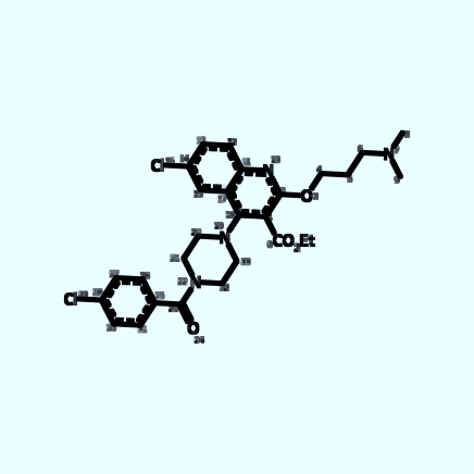 CCOC(=O)c1c(OCCCN(C)C)nc2ccc(Cl)cc2c1N1CCN(C(=O)c2ccc(Cl)cc2)CC1